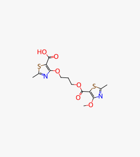 COc1nc(C)sc1C(=O)OCCCOc1nc(C)sc1C(=O)O